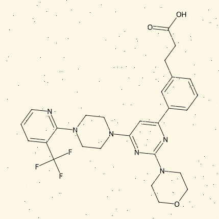 O=C(O)CCc1cccc(-c2cc(N3CCN(c4ncccc4C(F)(F)F)CC3)nc(N3CCOCC3)n2)c1